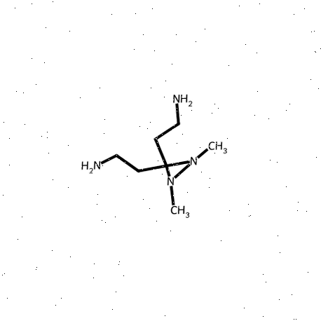 CN1N(C)C1(CCN)CCN